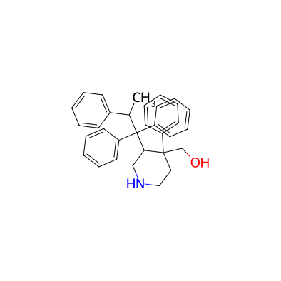 CC(c1ccccc1)C(c1ccccc1)(c1ccccc1)C1CNCCC1(CO)c1ccccc1